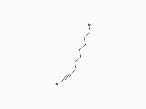 OC#CCCCCCCCBr